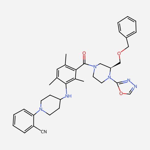 Cc1cc(C)c(C(=O)N2CCN(c3nnco3)[C@H](COCc3ccccc3)C2)c(C)c1NC1CCN(c2ccccc2C#N)CC1